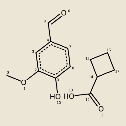 COc1cc(C=O)ccc1O.O=C(O)C1CCC1